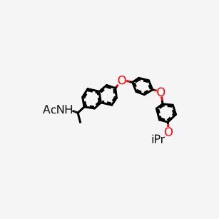 CC(=O)NC(C)c1ccc2cc(Oc3ccc(Oc4ccc(OC(C)C)cc4)cc3)ccc2c1